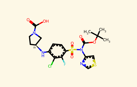 CC(C)(C)OC(=O)N(c1cscn1)S(=O)(=O)c1ccc(N[C@H]2CCN(C(=O)O)C2)c(Cl)c1F